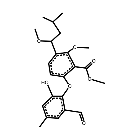 COC(=O)c1c(Oc2c(O)cc(C)cc2C=O)ccc(C(CC(C)C)OC)c1OC